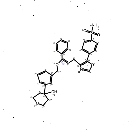 NS(=O)(=O)c1ccc(-c2ocnc2C/C=C(/OCc2cccc(C3(O)CCOCC3)c2)c2ccccc2)cc1